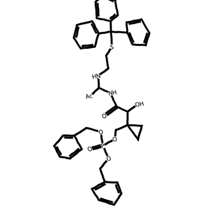 CC(=O)C(NCCSC(c1ccccc1)(c1ccccc1)c1ccccc1)NC(=O)C(O)C1(COP(=O)(OCc2ccccc2)OCc2ccccc2)CC1